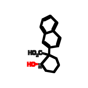 O=C(O)C1(c2ccc3ccccc3c2)CCCC[C@@H]1O